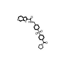 O=C(NCc1ccc(S(=O)(=O)c2ccc(C(=O)N3CCCC3)cc2)cc1)c1cc2ccncc2s1